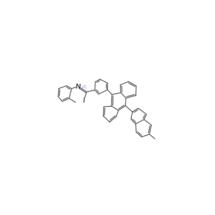 Cc1ccc2cc(-c3c4ccccc4c(-c4cccc(/C(I)=N/c5ccccc5C)c4)c4ccccc34)ccc2c1